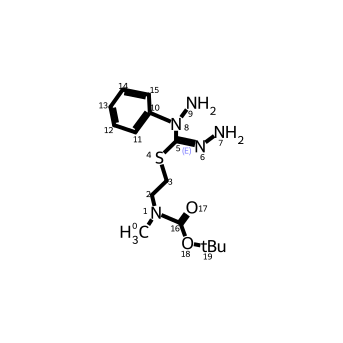 CN(CCS/C(=N/N)N(N)c1ccccc1)C(=O)OC(C)(C)C